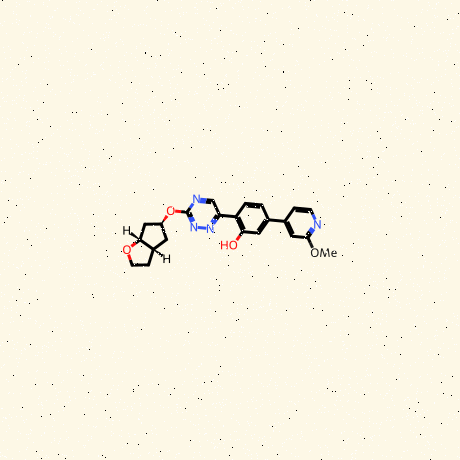 COc1cc(-c2ccc(-c3cnc(O[C@H]4C[C@@H]5CCO[C@@H]5C4)nn3)c(O)c2)ccn1